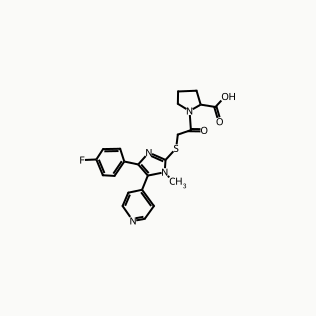 Cn1c(SCC(=O)N2CCCC2C(=O)O)nc(-c2ccc(F)cc2)c1-c1ccncc1